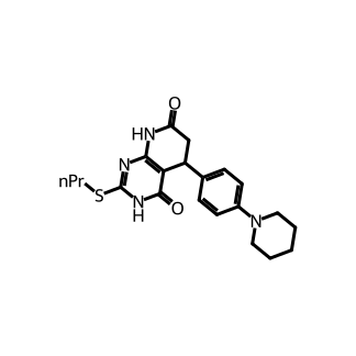 CCCSc1nc2c(c(=O)[nH]1)C(c1ccc(N3CCCCC3)cc1)CC(=O)N2